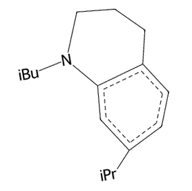 CCC(C)N1CCCc2ccc(C(C)C)cc21